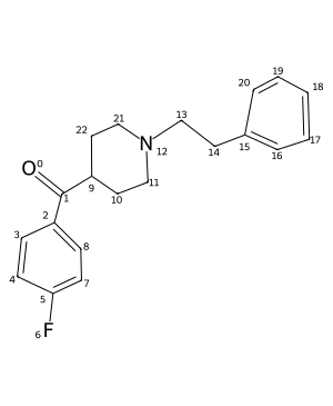 O=C(c1ccc(F)cc1)C1CCN(CCc2ccccc2)CC1